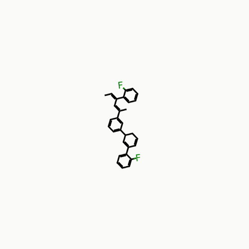 C/C=C(\C=C(/C)c1cccc(C2C=C(c3ccccc3F)C=CC2)c1)c1ccccc1F